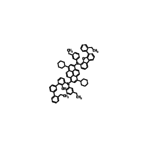 CCc1cccc(N(c2cccc(-c3cccc(-c4ccccc4CC)c3)c2O)c2cc(C3CCCCC3)c3ccc4c(N(c5cccc(CC)c5)c5cccc6c5oc5c(-c7ccccc7CC)cccc56)cc(C5CCCCC5)c5ccc2c3c54)c1